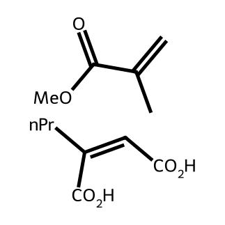 C=C(C)C(=O)OC.CCCC(=CC(=O)O)C(=O)O